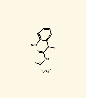 COc1ccccc1C(C)C(=O)N[C@@H](C)C(=O)O